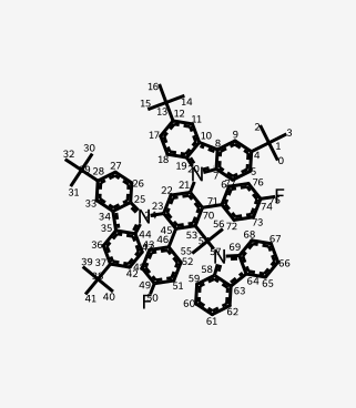 CC(C)(C)c1ccc2c(c1)c1cc(C(C)(C)C)ccc1n2-c1cc(-n2c3ccc(C(C)(C)C)cc3c3cc(C(C)(C)C)ccc32)c(-c2ccc(F)cc2)c(C(C)(C)n2c3ccccc3c3ccccc32)c1-c1ccc(F)cc1